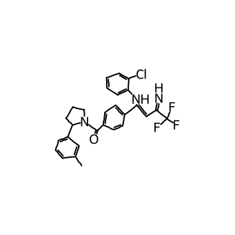 Cc1cccc(C2CCCN2C(=O)c2ccc(/C(=C/C(=N)C(F)(F)F)Nc3ccccc3Cl)cc2)c1